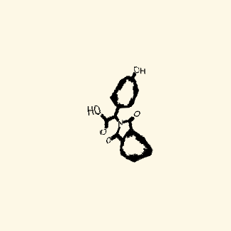 O=C(O)C(c1ccc(O)cc1)N1C(=O)c2ccccc2C1=O